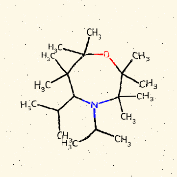 CC(C)C1N(C(C)C)C(C)(C)C(C)(C)OC(C)(C)C1(C)C